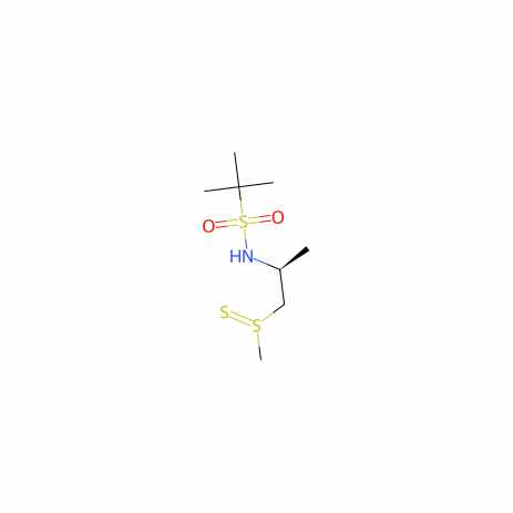 C[C@@H](CS(C)=S)NS(=O)(=O)C(C)(C)C